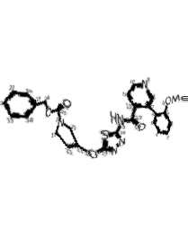 COc1ccccc1-c1cnccc1C(=O)Nc1nnc(OC2CCN(C(=O)OCc3ccccc3)C2)s1